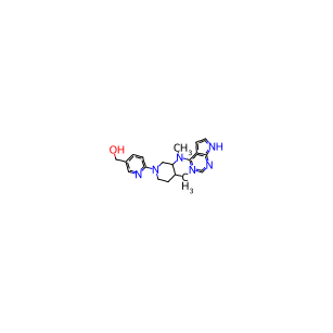 CC1CCN(c2ccc(CO)cn2)CC1N(C)c1ncnc2[nH]ccc12